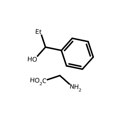 CCC(O)c1ccccc1.NCC(=O)O